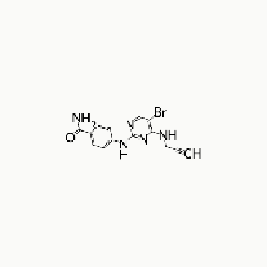 C#CCNc1nc(Nc2ccc(C(N)=O)cc2)ncc1Br